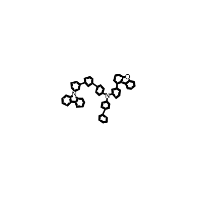 c1ccc(-c2ccc(N(c3ccc(-c4cccc(-c5cccc(-n6c7ccccc7c7ccccc76)c5)c4)cc3)c3cccc(-c4cccc5oc6ccccc6c45)c3)cc2)cc1